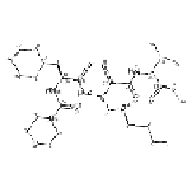 CCCCOCC(NC(=O)[C@H](CC1CCCCC1)NC(=O)N1CCOCC1)C(=O)C(=O)NC(C(=O)OC)C(C)C